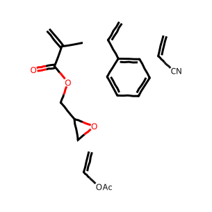 C=C(C)C(=O)OCC1CO1.C=CC#N.C=COC(C)=O.C=Cc1ccccc1